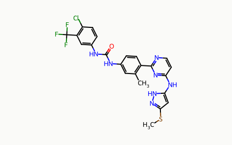 CSc1cc(Nc2ccnc(-c3ccc(NC(=O)Nc4ccc(Cl)c(C(F)(F)F)c4)cc3C)n2)[nH]n1